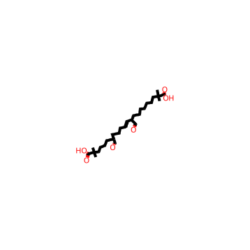 CC(C)(CCCCCCCC(C=O)C=CCCCC(C=O)CCCCC(C)(C)C(=O)O)C(=O)O